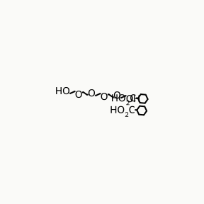 O=C(O)C1CCCCC1.O=C(O)C1CCCCC1.OCCOCCOCCOCCOCCO